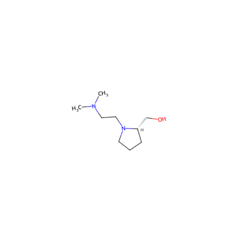 CN(C)CCN1CCC[C@H]1CO